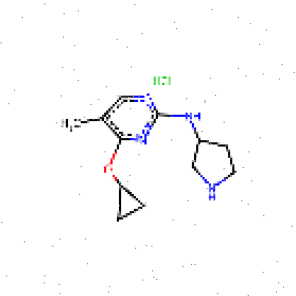 Cc1cnc(NC2CCNC2)nc1OC1CC1.Cl